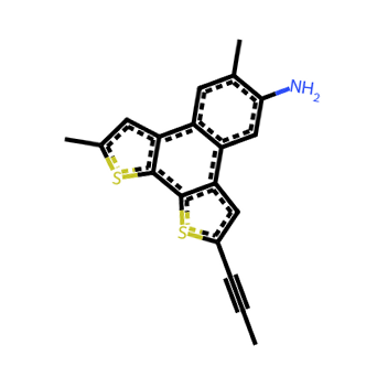 CC#Cc1cc2c3cc(N)c(C)cc3c3cc(C)sc3c2s1